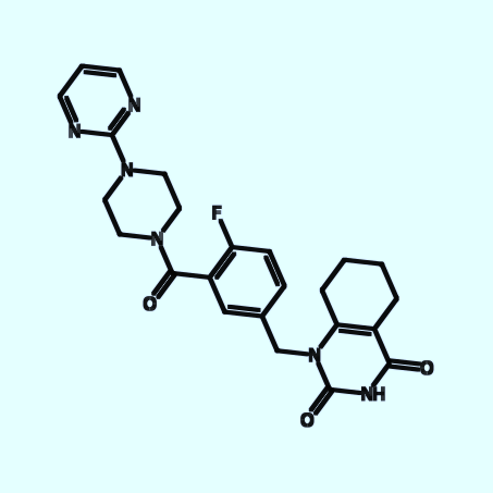 O=C(c1cc(Cn2c3c(c(=O)[nH]c2=O)CCCC3)ccc1F)N1CCN(c2ncccn2)CC1